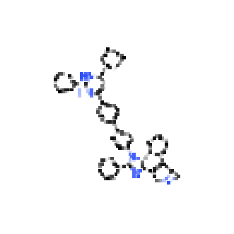 C1=C(c2ccc(-c3ccc(-n4c(-c5ccccc5)nc5c6c(c7ccccc7c54)C4CN4C6)cc3)cc2)NC(c2ccccc2)NC1c1ccccc1